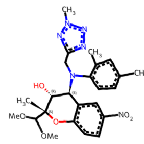 COC(OC)[C@@]1(C)Oc2ccc([N+](=O)[O-])cc2[C@H](N(Cc2nnn(C)n2)c2ccc(C)cc2C)[C@H]1O